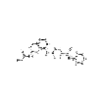 C=CC(=O)Nc1ccc2nccc(Oc3ccc(C(=O)Nc4ncccn4)cc3)c2c1